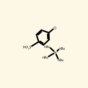 CCCC[N+](CCCC)(CCCC)CCCC.O=S(=O)(O)c1ccc(Cl)cc1